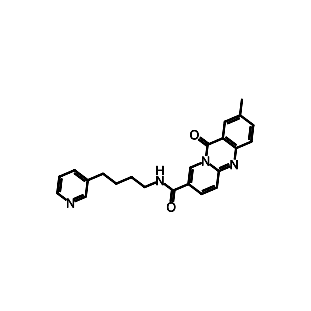 Cc1ccc2nc3ccc(C(=O)NCCCCc4cccnc4)cn3c(=O)c2c1